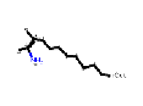 CCCCCCCCCCCCCCCCC(C)=C(C)N